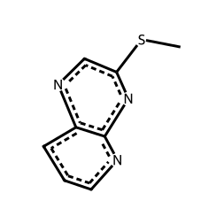 CSc1cnc2cccnc2n1